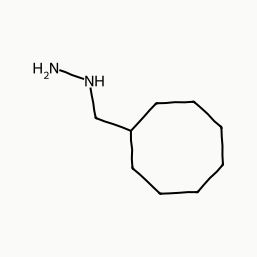 NNCC1CCCCCCC1